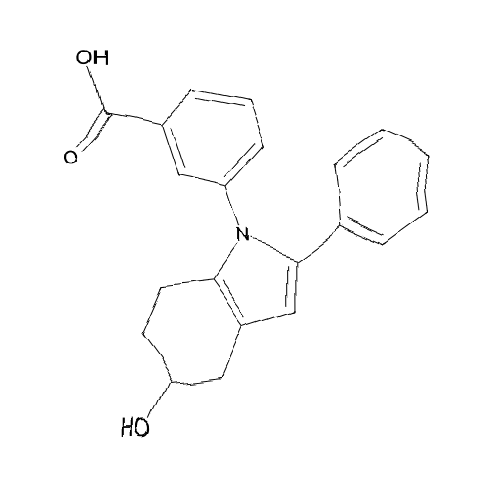 O=C(O)c1cccc(-n2c(-c3ccccc3)cc3c2CCC(O)C3)c1